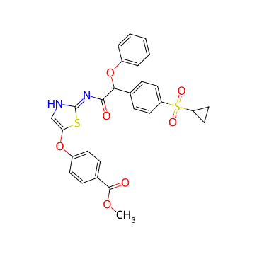 COC(=O)c1ccc(Oc2c[nH]c(=NC(=O)C(Oc3ccccc3)c3ccc(S(=O)(=O)C4CC4)cc3)s2)cc1